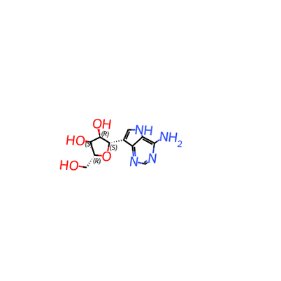 Nc1ncnc2c([C@@H]3O[C@H](CO)[C@@H](O)[C@H]3O)c[nH]c12